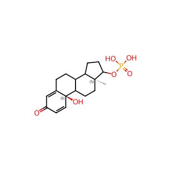 C[C@]12CCC3C(CCC4=CC(=O)C=C[C@]43O)C1CCC2OP(=O)(O)O